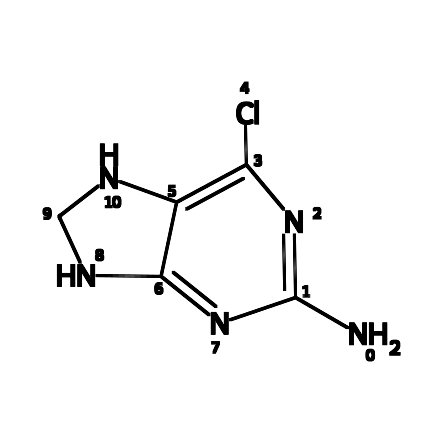 Nc1nc(Cl)c2c(n1)NCN2